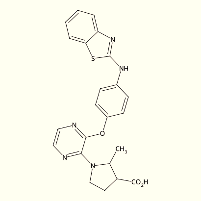 CC1C(C(=O)O)CCN1c1nccnc1Oc1ccc(Nc2nc3ccccc3s2)cc1